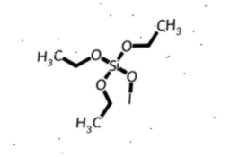 CCO[Si](OI)(OCC)OCC